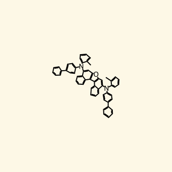 Cc1ccccc1N(c1ccc(-c2ccccc2)cc1)c1cc2oc3cc(N(c4ccc(-c5ccccc5)cc4)c4ccccc4C)c4ccccc4c3c2c2ccccc12